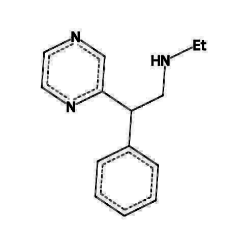 CCNCC(c1ccccc1)c1cnccn1